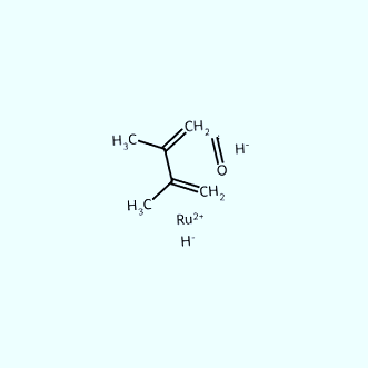 C=C(C)C(=C)C.[C]=O.[H-].[H-].[Ru+2]